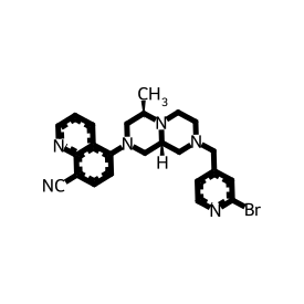 C[C@@H]1CN(c2ccc(C#N)c3ncccc23)C[C@H]2CN(Cc3ccnc(Br)c3)CCN21